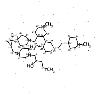 CCCC(O)CN1CCN(CC2C[C@@]2(C)C2CCN(CC3CCN(C)CC3C3CN(CCC4CCN(C)CC4)CC[C@H]3C)CC2)CC1